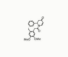 COc1cc(I)c(CC(=O)N2C=CC(=O)CC2c2ccccc2)cc1OC